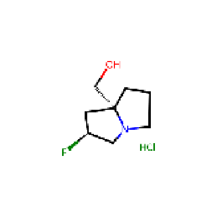 Cl.OC[C@]12CCCN1C[C@@H](F)C2